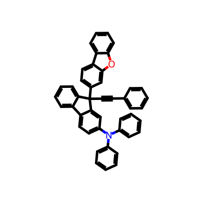 C(#CC1(c2ccc3c(c2)oc2ccccc23)c2ccccc2-c2ccc(N(c3ccccc3)c3ccccc3)cc21)c1ccccc1